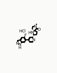 CN1CC[C@@]2(CC[C@H](c3cc(-c4cc5[nH]ncc5cc4F)ccn3)N2)C1=O.Cl